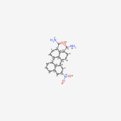 NC(=O)c1ccc2c3cccc4cc([N+](=O)[O-])cc(c5ccc(C(N)=O)c1c25)c43